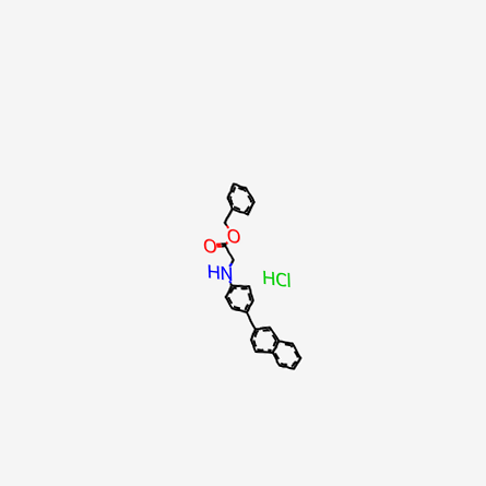 Cl.O=C(CNc1ccc(-c2ccc3ccccc3c2)cc1)OCc1ccccc1